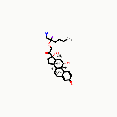 CCCCC(I)(CN)OCC(=O)[C@@]1(O)CC[C@H]2[C@@H]3CCC4=CC(=O)C=C[C@]4(C)[C@H]3[C@@H](O)C[C@@]21C